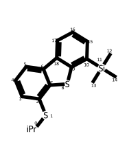 CC(C)Sc1cccc2c1sc1c([Si](C)(C)C)cccc12